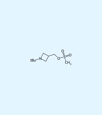 CC(C)(C)N1CC(COS(C)(=O)=O)C1